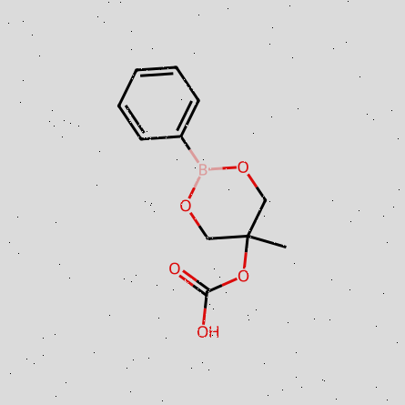 CC1(OC(=O)O)COB(c2ccccc2)OC1